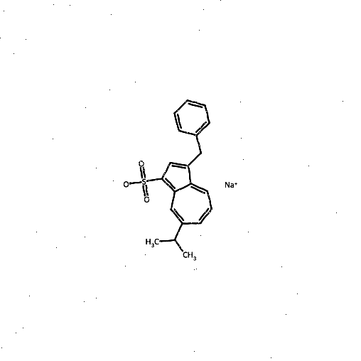 CC(C)c1cccc2c(Cc3ccccc3)cc(S(=O)(=O)[O-])c-2c1.[Na+]